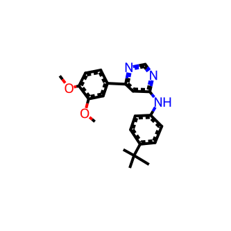 COc1ccc(-c2cc(Nc3ccc(C(C)(C)C)cc3)ncn2)cc1OC